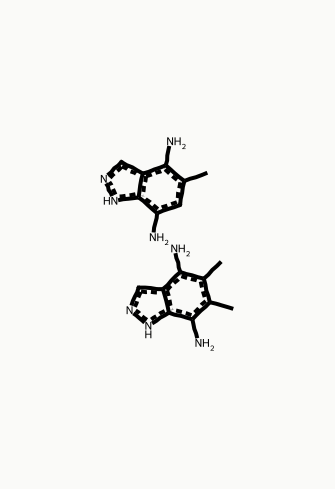 Cc1c(C)c(N)c2[nH]ncc2c1N.Cc1cc(N)c2[nH]ncc2c1N